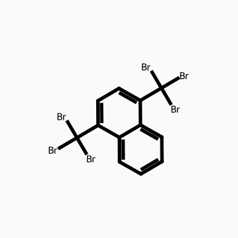 BrC(Br)(Br)c1ccc(C(Br)(Br)Br)c2ccccc12